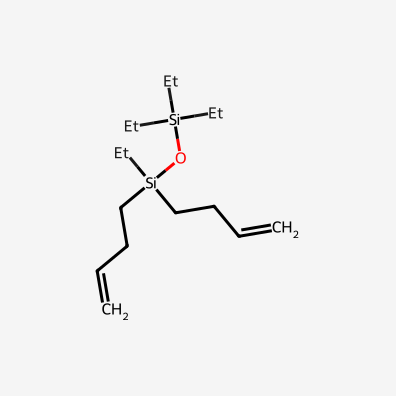 C=CCC[Si](CC)(CCC=C)O[Si](CC)(CC)CC